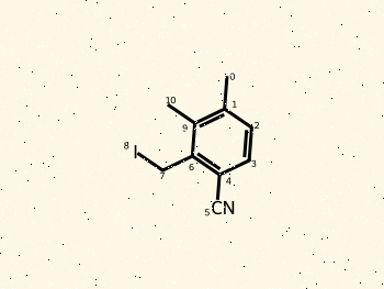 Cc1ccc(C#N)c(CI)c1C